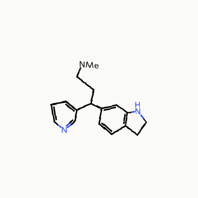 CNCCC(c1cccnc1)c1ccc2c(c1)NCC2